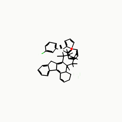 Cl.Cl.[CH2]=[Zr]([C]1=CC=CC1)([c]1ccccc1)([c]1cccc(Cl)c1)[C]1(C)C2=C3Cc4ccccc4C3=C3C=CCCC3C2(C)C(C)(C)C(C)(C)C1(C)C